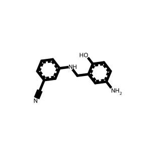 N#Cc1cccc(NCc2cc(N)ccc2O)c1